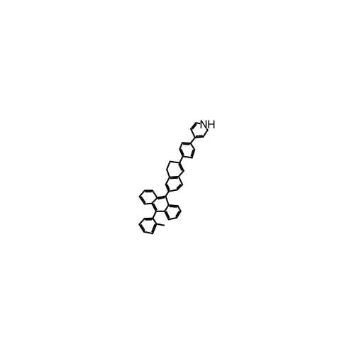 Cc1ccccc1-c1c2ccccc2c(-c2ccc3c(c2)CCC(c2ccc(C4=CCNC=C4)cc2)=C3)c2ccccc12